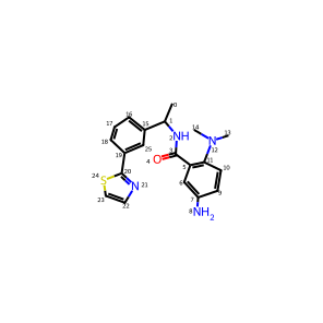 CC(NC(=O)c1cc(N)ccc1N(C)C)c1cccc(-c2nccs2)c1